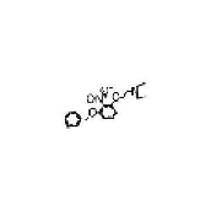 CCN(CC)CCOc1cccc(OCc2ccccc2)c1[N+](=O)[O-]